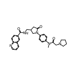 CN(C(=O)CN1CCCC1)c1ccc(N2CC(CNC(=O)c3ccc4ncccc4c3)CC2=O)cc1